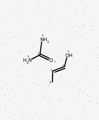 CC=CO.NC(N)=O